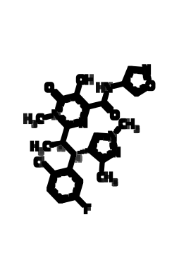 Cc1nn(C)cc1[C@H](c1cc(F)ccc1Cl)[C@@H](C)c1nc(C(=O)Nc2cnoc2)c(O)c(=O)n1C